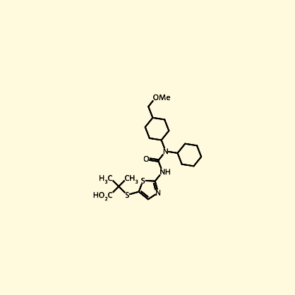 COCC1CCC(N(C(=O)Nc2ncc(SC(C)(C)C(=O)O)s2)C2CCCCC2)CC1